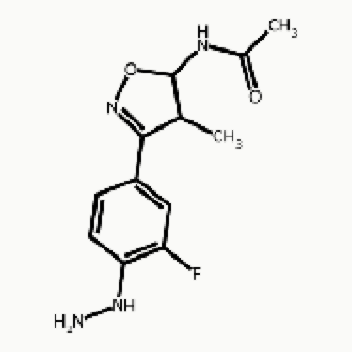 CC(=O)NC1ON=C(c2ccc(NN)c(F)c2)C1C